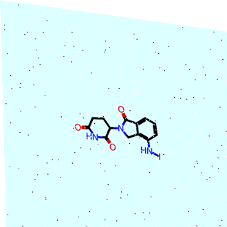 O=C1CCC(N2Cc3c(NI)cccc3C2=O)C(=O)N1